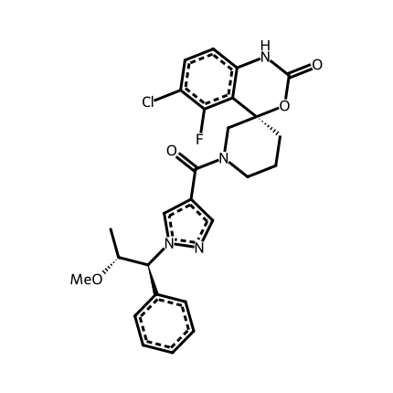 CO[C@H](C)[C@H](c1ccccc1)n1cc(C(=O)N2CCC[C@@]3(C2)OC(=O)Nc2ccc(Cl)c(F)c23)cn1